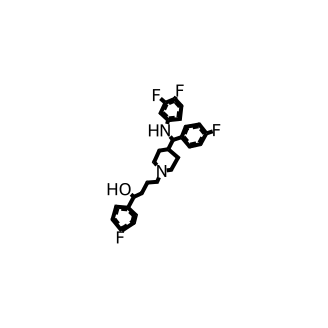 OC(CCCN1CCC(C(Nc2ccc(F)c(F)c2)c2ccc(F)cc2)CC1)c1ccc(F)cc1